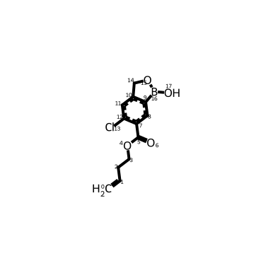 C=CCCOC(=O)c1cc2c(cc1Cl)COB2O